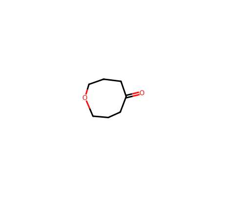 O=C1CCCOCCC1